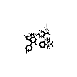 Cc1cc(Nc2nc(Nc3ccccc3S(=O)(=O)C(C)C)c3c(C)n[nH]c3n2)c2c(c1C1CCN(C)CC1)C[C@@H](C)O2